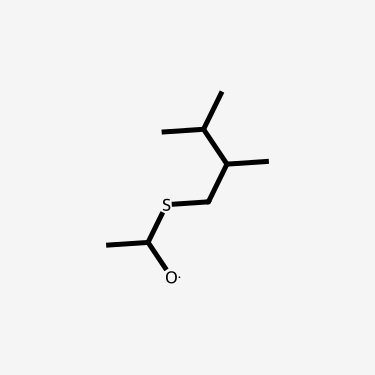 CC([O])SCC(C)C(C)C